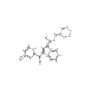 C[C@@H](COC1CCCCO1)n1cc(C(=O)c2cncc(Br)c2)c2cncnc21